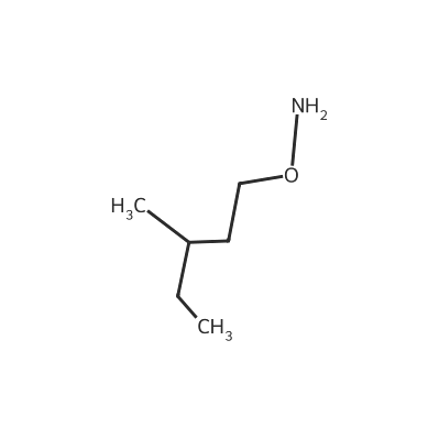 CCC(C)CCON